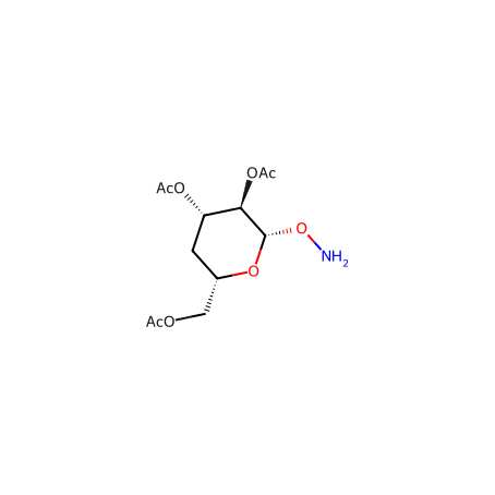 CC(=O)OC[C@@H]1C[C@H](OC(C)=O)[C@@H](OC(C)=O)[C@H](ON)O1